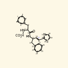 O=C(O)NC(Cc1ccccc1)C(=O)NC(/C=C/c1nccs1)Cc1ccccc1